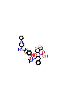 CC(C)CN(C[C@@H](O)C(Cc1ccccc1)N(C(=O)O)C1CCOC2OCCC21)S(=O)(=O)c1ccc2nc(NC3CCN(C4CCCC4)CC3)sc2c1